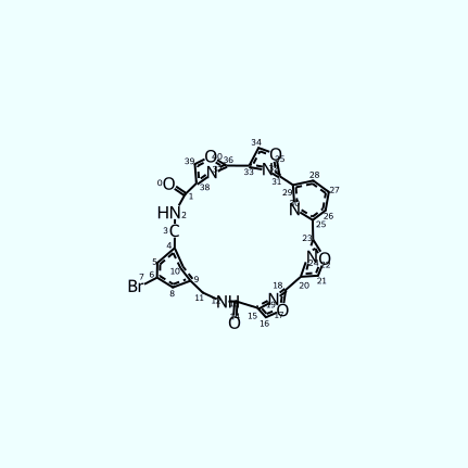 O=C1NCc2cc(Br)cc(c2)CNC(=O)c2coc(n2)-c2coc(n2)-c2cccc(n2)-c2nc(co2)-c2nc1co2